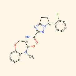 CN1C(=O)[C@@H](NC(=O)c2nc3n(n2)[C@@H](c2ccccc2F)CC3)COc2ccccc21